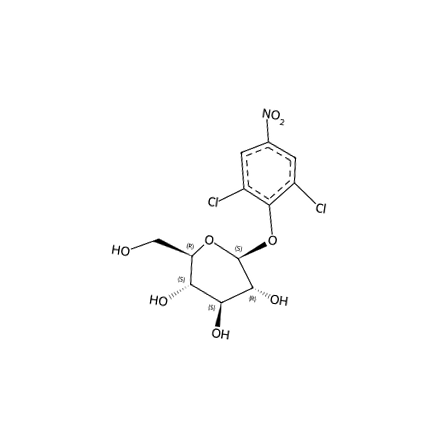 O=[N+]([O-])c1cc(Cl)c(O[C@@H]2O[C@H](CO)[C@@H](O)[C@H](O)[C@H]2O)c(Cl)c1